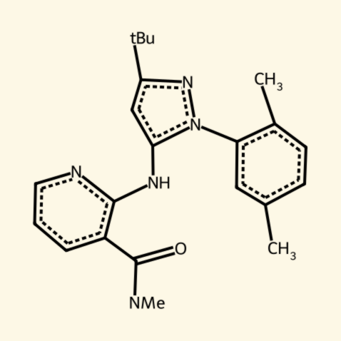 CNC(=O)c1cccnc1Nc1cc(C(C)(C)C)nn1-c1cc(C)ccc1C